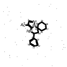 CC(=O)c1cnn2c1NC(c1ccccc1)CC21CCCCC1